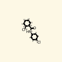 O=C(Nc1ccc(Cl)cc1)c1ccccc1Cl